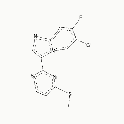 CSc1ccnc(-c2cnc3cc(F)c(Cl)cn23)n1